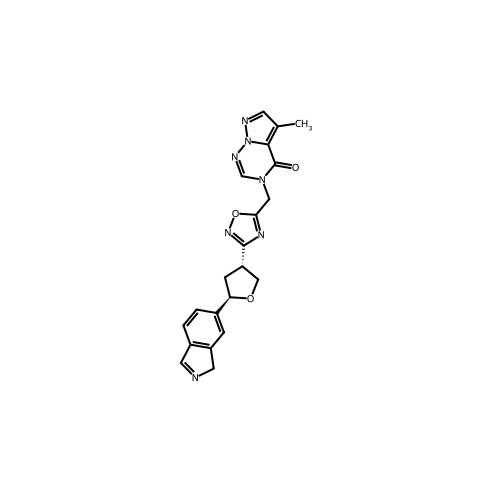 Cc1cnn2ncn(Cc3nc([C@@H]4CO[C@@H](c5ccc6c(c5)CN=C6)C4)no3)c(=O)c12